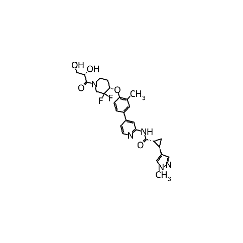 Cc1cc(-c2ccnc(NC(=O)[C@@H]3C[C@H]3c3cnn(C)c3)c2)ccc1O[C@H]1CCN(C(=O)[C@@H](O)CO)CC1(F)F